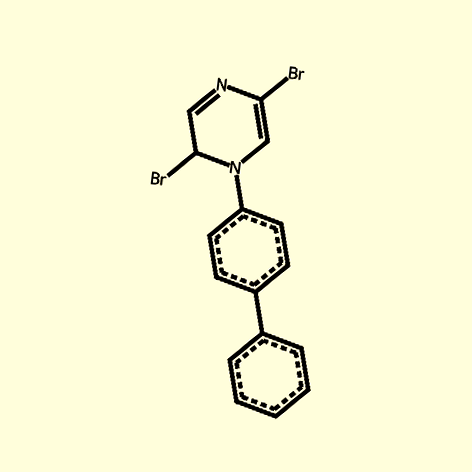 BrC1=CN(c2ccc(-c3ccccc3)cc2)C(Br)C=N1